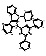 C1=CCC(n2c3ccccc3c3c4cccnc4n(-c4cc(-c5ccccc5)nc(-c5ccccc5)c4)c32)C=C1